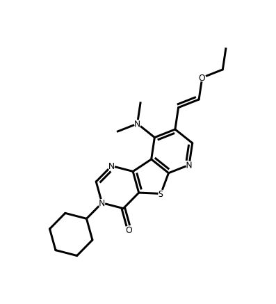 CCOC=Cc1cnc2sc3c(=O)n(C4CCCCC4)cnc3c2c1N(C)C